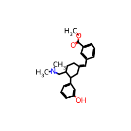 COC(=O)c1cccc(C=C2CCC(CN(C)C)C(c3cccc(O)c3)C2)c1